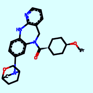 CC(C)O[C@H]1CC[C@H](C(=O)N2Cc3cccnc3Nc3ccc(N4CC5CCC4CO5)cc32)CC1